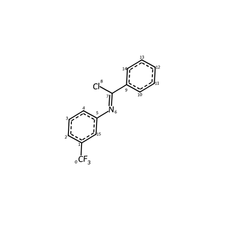 FC(F)(F)c1cccc(/N=C(\Cl)c2ccccc2)c1